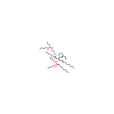 C=CC1=CCCCC1.CCCCCC/C=C/C=C/C=C/OCCCC.CCCCCCC=C(OCCCC)OCCCC.CCCCOC(CCC)OCCCC